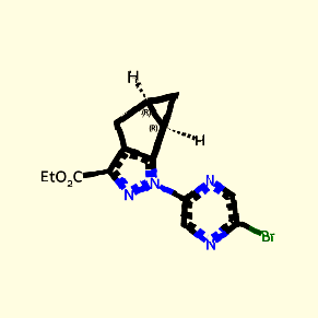 CCOC(=O)c1nn(-c2cnc(Br)cn2)c2c1C[C@H]1C[C@@H]21